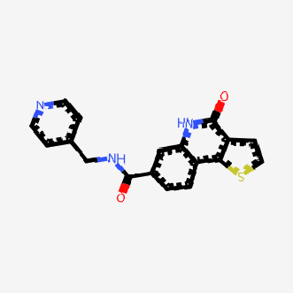 O=C(NCc1ccncc1)c1ccc2c(c1)[nH]c(=O)c1ccsc12